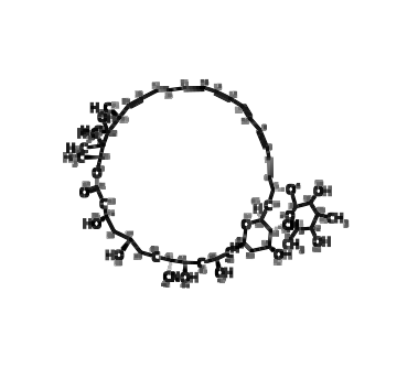 CC1OC(O[C@H]2/C=C/C=C/C=C/C=C/C=C/C=C/C=C/[C@H](C)[C@@](C)(O)C(C)(C)[C@H](C)OC(=O)C[C@H](O)C[C@H](O)CC[C@@H](C#N)[C@H](O)C[C@H](O)C[C@H]3C[C@H](O)[C@@H](C)[C@H](C2)O3)C(O)C(C)C1O